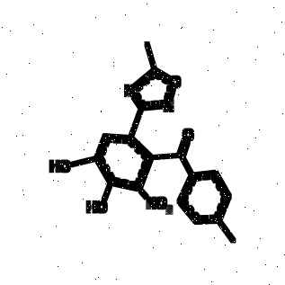 Cc1ccc(C(=O)c2c(-c3noc(C)n3)cc(O)c(O)c2[N+](=O)[O-])cc1